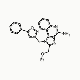 CCOCc1nc2c(N)nc3ccccc3c2n1Cc1cc(-c2ccccc2)on1